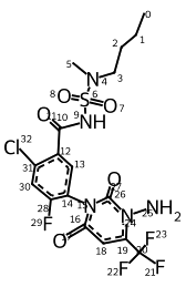 CCCCN(C)S(=O)(=O)NC(=O)c1cc(-n2c(=O)cc(C(F)(F)F)n(N)c2=O)c(F)cc1Cl